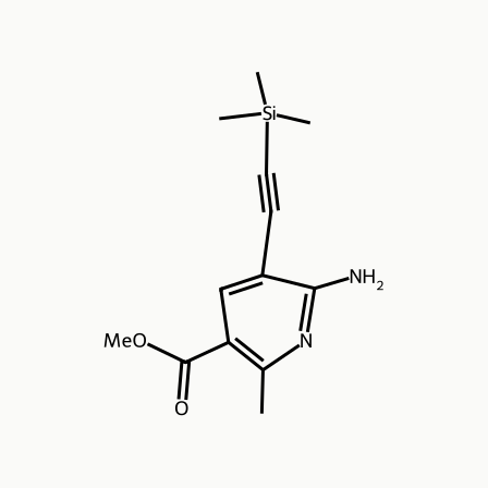 COC(=O)c1cc(C#C[Si](C)(C)C)c(N)nc1C